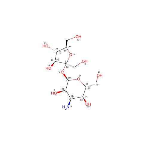 N[C@H]1[C@@H](O)[C@@H](O[C@]2(CO)O[C@H](CO)[C@@H](O)[C@@H]2O)O[C@H](CO)[C@H]1O